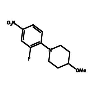 COC1CCN(c2ccc([N+](=O)[O-])cc2F)CC1